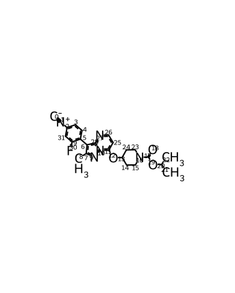 [C-]#[N+]c1ccc(-c2c(C)nn3c(OC4CCN(C(=O)OC(C)C)CC4)ccnc23)c(F)c1